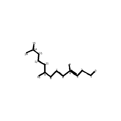 [CH2]CC/C=C(\C)CCCC(C)CCCC(C)C